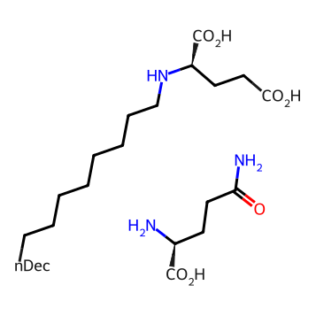 CCCCCCCCCCCCCCCCCCN[C@H](CCC(=O)O)C(=O)O.NC(=O)CC[C@H](N)C(=O)O